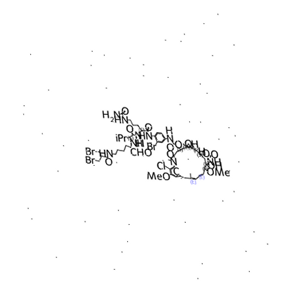 COc1cc2cc(c1Cl)N(C)C(=O)C[C@H](OC(=O)Nc1ccc(NC(=O)[C@H](CCCNC(N)=O)NC(=O)[C@@H](NC(C=O)CCCCNC(=O)C(CBr)CBr)C(C)C)c(Br)c1)[C@]1(C)O[C@H]1[C@H](C)[C@@H]1C[C@@](O)(NC(=O)O1)[C@H](OC)/C=C/C=C(\C)C2